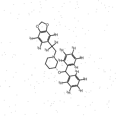 [2H]c1c([2H])c([2H])c(C(O[C@@H]2CCCN(CC([2H])([2H])c3c([2H])c([2H])c4c(c3[2H])OCO4)C2)c2c([2H])c([2H])c([2H])c([2H])c2[2H])c([2H])c1[2H]